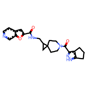 O=C(NCC1CC12CCN(C(=O)c1n[nH]c3c1CCC3)CC2)c1cc2ccncc2o1